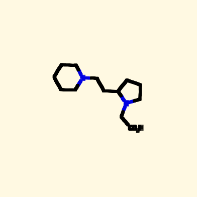 O=C(O)CN1CCCC1CCN1CCCCC1